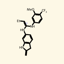 C=C1Cc2ccc(N/C(=C\CC)Nc3ccc(C(F)(F)F)c(OC)c3)cc2N1